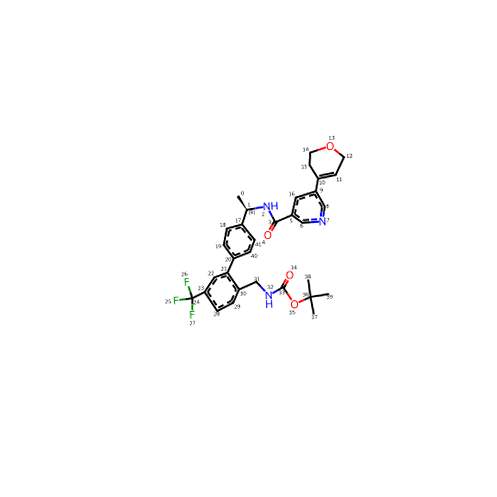 C[C@@H](NC(=O)c1cncc(C2=CCOCC2)c1)c1ccc(-c2cc(C(F)(F)F)ccc2CNC(=O)OC(C)(C)C)cc1